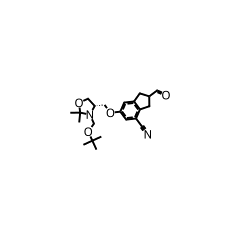 CC(C)(C)OCN1[C@@H](COc2cc(C#N)c3c(c2)CC(C=O)C3)COC1(C)C